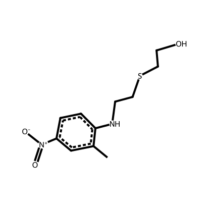 Cc1cc([N+](=O)[O-])ccc1NCCSCCO